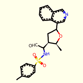 Cc1ccc(S(=O)(=O)NC(C=O)[C@H]2CC(c3cncc4ccccc34)O[C@H]2C)cc1